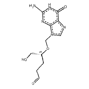 Nc1nc2c(ncn2CO[C@@H](CO)CCC=O)c(=O)[nH]1